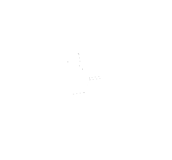 CCC(Cl)C(=O)N1CC1